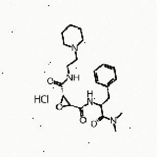 CN(C)C(=O)[C@H](Cc1ccccc1)NC(=O)[C@H]1O[C@@H]1C(=O)NCCN1CCCCC1.Cl